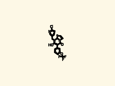 O=C1C(c2cccc(OC(F)(F)F)c2)=C(O)N(Cc2ccc(Cl)nc2)C2SC=CN12